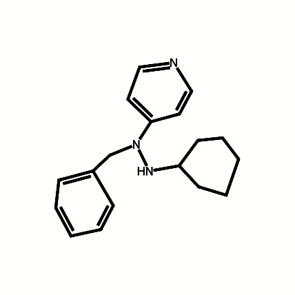 c1ccc(CN(NC2CCCCC2)c2ccncc2)cc1